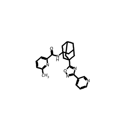 Cc1cccc(C(=O)NC23CC4CC(C2)CC(c2nc(-c5cccnc5)no2)(C4)C3)n1